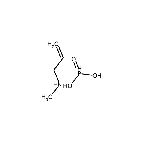 C=CCNC.O=[PH](O)O